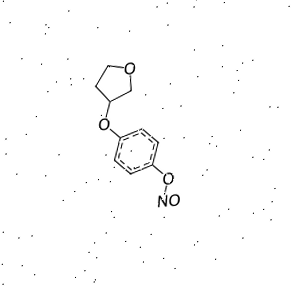 O=NOc1ccc(OC2CCOC2)cc1